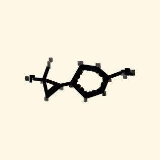 CCCCc1ccc(C2=CC2(F)I)cc1